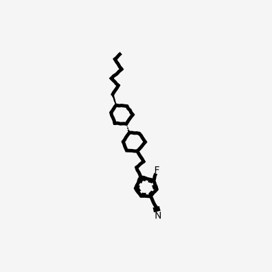 CCCCCC[C@H]1CC[C@H](C2CCC(CCc3ccc(C#N)cc3F)CC2)CC1